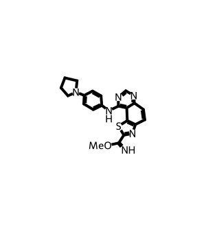 COC(=N)c1nc2ccc3ncnc(Nc4ccc(N5CCCC5)cc4)c3c2s1